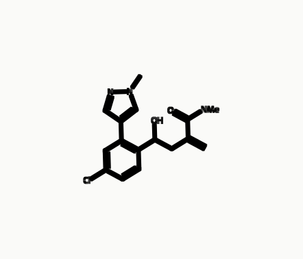 C=C(CC(O)c1ccc(Cl)cc1-c1cnn(C)c1)C(=O)NC